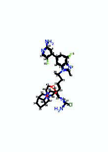 Cc1nc2c(F)cc(-c3cc(N)ncc3F)cc2n1C(C)C/C=C/C(=C\N=C(/N)Cl)CN1CC2CCC(C1)C2N1CCOCC1